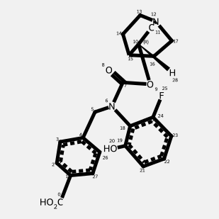 O=C(O)c1ccc(CN(C(=O)O[C@H]2CN3CCC2CC3)c2c(O)cccc2F)cc1